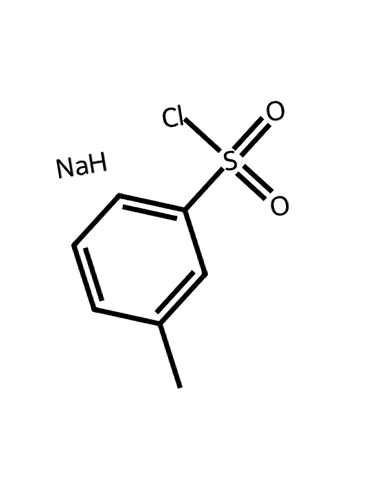 Cc1cccc(S(=O)(=O)Cl)c1.[NaH]